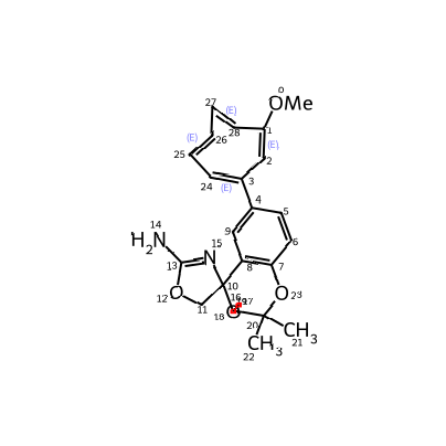 COC1=C/C(c2ccc3c(c2)C2(COC(N)=N2)C2(COC2)C(C)(C)O3)=C\C=C\C=C\1